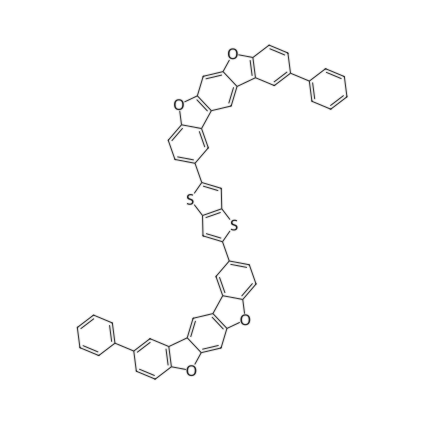 c1ccc(-c2ccc3oc4cc5oc6ccc(-c7cc8sc(-c9ccc%10oc%11cc%12oc%13ccc(-c%14ccccc%14)cc%13c%12cc%11c%10c9)cc8s7)cc6c5cc4c3c2)cc1